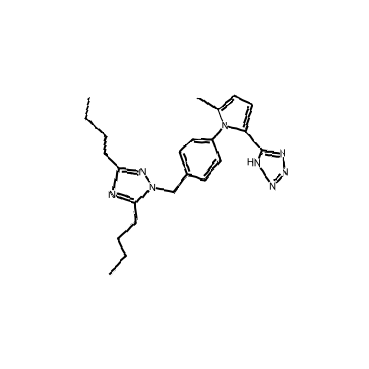 CCCCc1nc(CCCC)n(Cc2ccc(-n3c(C)ccc3-c3nnn[nH]3)cc2)n1